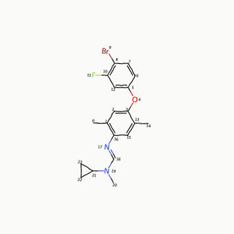 Cc1cc(Oc2ccc(Br)c(F)c2)c(C)cc1N=CN(C)C1CC1